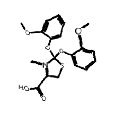 COc1ccccc1OC1(Oc2ccccc2OC)SCC(C(=O)O)N1C